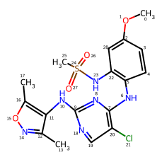 COc1ccc(Nc2nc(Nc3c(C)noc3C)ncc2Cl)c(NS(C)(=O)=O)c1